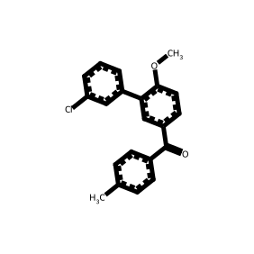 COc1ccc(C(=O)c2ccc(C)cc2)cc1-c1cccc(Cl)c1